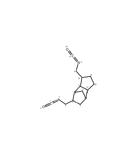 O=C=NCC1CC2CC1C1C(CN=C=O)CCC21